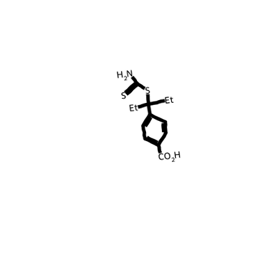 CCC(CC)(SC(N)=S)c1ccc(C(=O)O)cc1